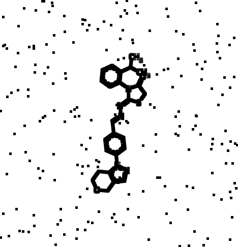 CC(C)c1ccccc1N1C(=O)CSC1=NN=Cc1ccc(-n2ncc3c2CCOC3)cc1